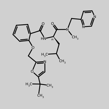 CC(C)C[C@@H](NC(=O)c1ccccc1OCc1ncc(C(C)(C)C)o1)C(=O)N(C)Cc1ccncn1